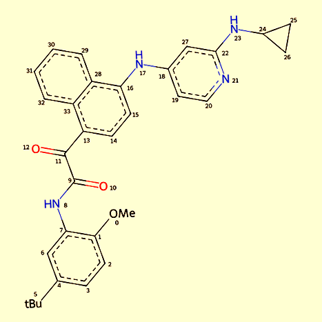 COc1ccc(C(C)(C)C)cc1NC(=O)C(=O)c1ccc(Nc2ccnc(NC3CC3)c2)c2ccccc12